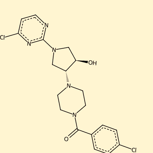 O=C(c1ccc(Cl)cc1)N1CCN([C@@H]2CN(c3nccc(Cl)n3)C[C@H]2O)CC1